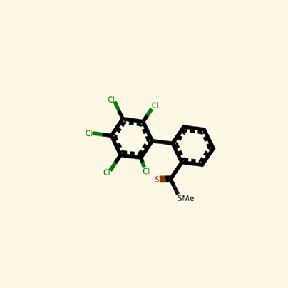 CSC(=S)c1ccccc1-c1c(Cl)c(Cl)c(Cl)c(Cl)c1Cl